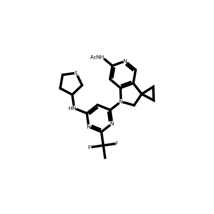 CC(=O)Nc1cc2c(cn1)C1(CC1)CN2c1cc(NC2CCSC2)nc(C(C)(F)F)n1